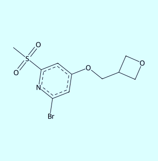 CS(=O)(=O)c1cc(OCC2COC2)cc(Br)n1